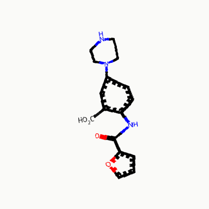 O=C(Nc1ccc(N2CCNCC2)cc1C(=O)O)c1ccco1